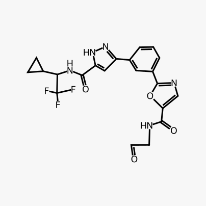 O=CCNC(=O)c1cnc(-c2cccc(-c3cc(C(=O)NC(C4CC4)C(F)(F)F)[nH]n3)c2)o1